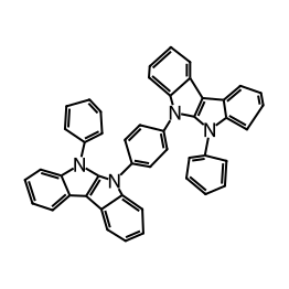 c1ccc(-n2c3ccccc3c3c4ccccc4n(-c4ccc(-n5c6ccccc6c6c7ccccc7n(-c7ccccc7)c65)cc4)c32)cc1